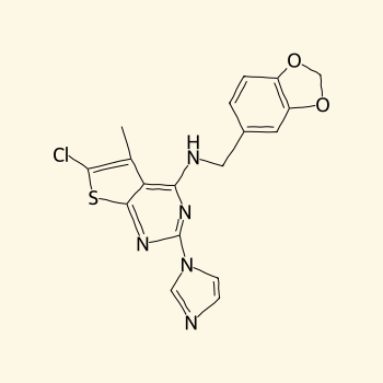 Cc1c(Cl)sc2nc(-n3ccnc3)nc(NCc3ccc4c(c3)OCO4)c12